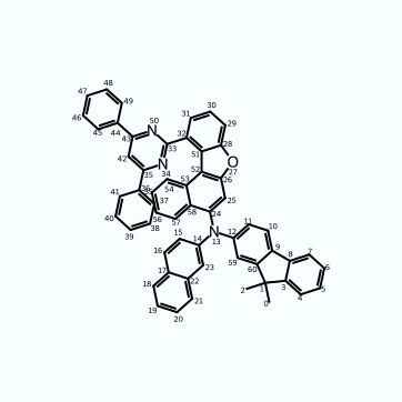 CC1(C)c2ccccc2-c2ccc(N(c3ccc4ccccc4c3)c3cc4oc5cccc(-c6nc(-c7ccccc7)cc(-c7ccccc7)n6)c5c4c4ccccc34)cc21